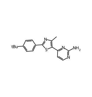 Cc1nc(-c2ccc(C(C)(C)C)cc2)sc1-c1ccnc(N)n1